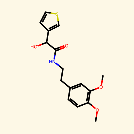 COc1ccc(CCNC(=O)C(O)c2ccsc2)cc1OC